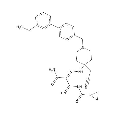 CCc1cccc(-c2ccc(CN3CCC(CC#N)(N/C=C(\C(=N)NC(=O)C4CC4)C(N)=O)CC3)cc2)c1